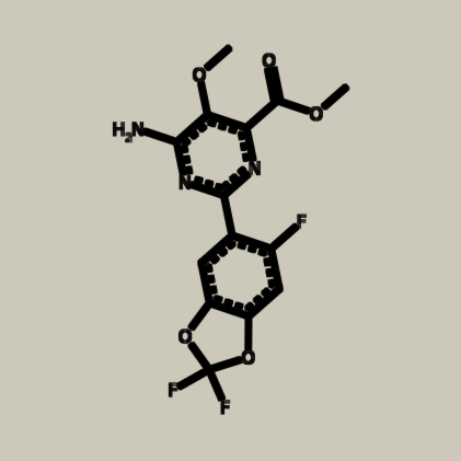 COC(=O)c1nc(-c2cc3c(cc2F)OC(F)(F)O3)nc(N)c1OC